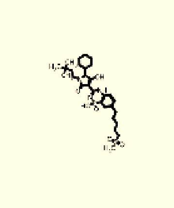 CC(C)(C)CCN1C(=O)C(C2=NP(=O)(O)c3cc(CCCCCS(C)(=O)=O)ccc3N2)=C(O)C1C1CCCCC1